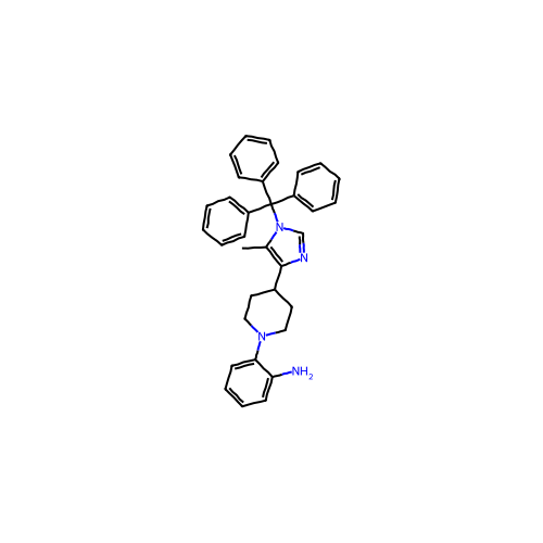 Cc1c(C2CCN(c3ccccc3N)CC2)ncn1C(c1ccccc1)(c1ccccc1)c1ccccc1